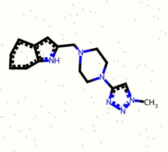 Cn1cc(N2CCN(Cc3cc4ccccc4[nH]3)CC2)nn1